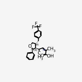 C/C(=C/C(C)[C@@H]1[C@@H](Cc2ccc(C(F)(F)F)cc2)CO[C@@H]1c1ccccc1)C(=O)O